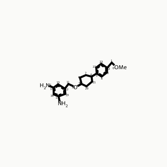 COCc1ccc(C2CCC(OCc3cc(N)cc(N)c3)CC2)cc1